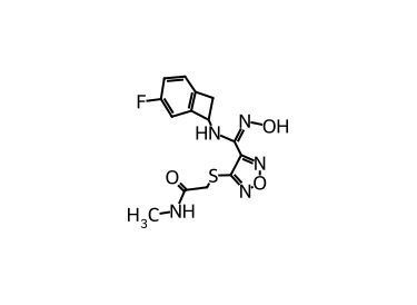 CNC(=O)CSc1nonc1/C(=N\O)NC1Cc2ccc(F)cc21